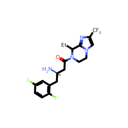 CCC1c2nc(C(F)(F)F)cn2CCN1C(=O)C[C@H](N)Cc1cc(F)ccc1F